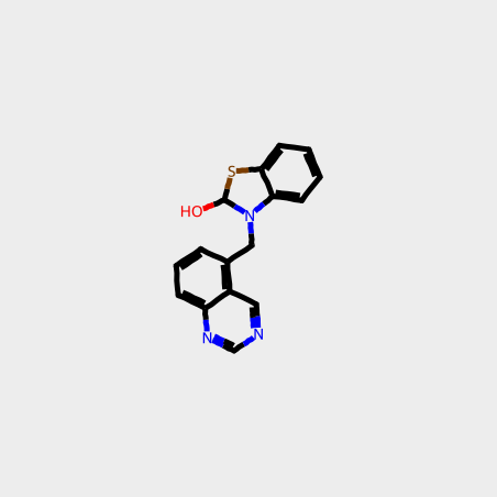 OC1Sc2ccccc2N1Cc1cccc2ncncc12